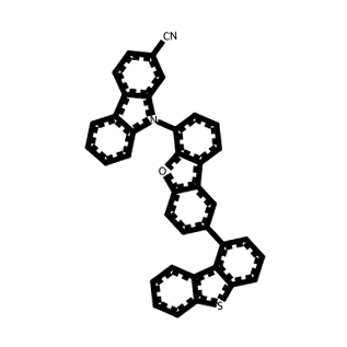 N#Cc1ccc2c3ccccc3n(-c3cccc4c3oc3ccc(-c5cccc6sc7ccccc7c56)cc34)c2c1